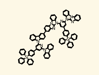 c1ccc([Si](c2ccccc2)(c2ccccc2)c2ccc(-c3cc(-n4c5ccccc5c5ccccc54)nc(-n4c5ccccc5c5cc(-c6ccc7c(c6)nc6n(-c8cc(-c9ccc([Si](c%10ccccc%10)(c%10ccccc%10)c%10ccccc%10)cc9)cc(-n9c%10ccccc%10n%10c%11ccccc%11nc9%10)n8)c8ccccc8n76)ccc54)c3)cc2)cc1